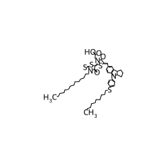 CCCCCCCCCCCCCCN1C(=O)/C(=c2\s/c(=C\c3ccc4c(c3)C3CCCC3N4c3ccc(SCCCCCCCCCC)cc3)c(=O)n2CC(=O)O)SC1=S